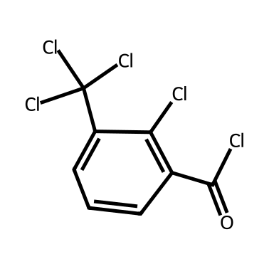 O=C(Cl)c1cccc(C(Cl)(Cl)Cl)c1Cl